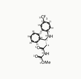 COC(=O)NC(=O)C[C@@H](Nc1ccc(C(F)(F)F)cc1)c1ccccc1